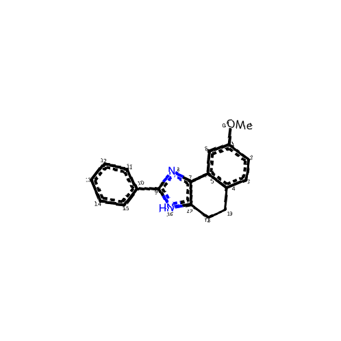 COc1ccc2c(c1)-c1nc(-c3ccccc3)[nH]c1CC2